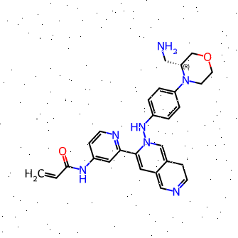 C=CC(=O)Nc1ccnc(C2=CC3=CN=CCC3=CN2Nc2ccc(N3CCOC[C@H]3CN)cc2)c1